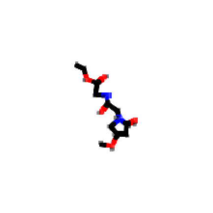 CCOC(=O)CNC(=O)CN1CC(OC)=CC1=O